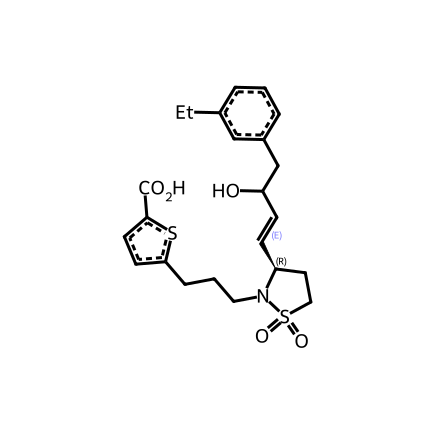 CCc1cccc(CC(O)/C=C/[C@H]2CCS(=O)(=O)N2CCCc2ccc(C(=O)O)s2)c1